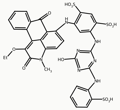 CCOc1c2c3c(c(Nc4cc(Nc5nc(O)nc(Nc6ccccc6S(=O)(=O)O)n5)c(S(=O)(=O)O)cc4S(=O)(=O)O)ccc3n(C)c1=O)C(=O)c1ccccc1-2